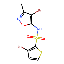 Cc1noc(NS(=O)(=O)c2sccc2Br)c1Br